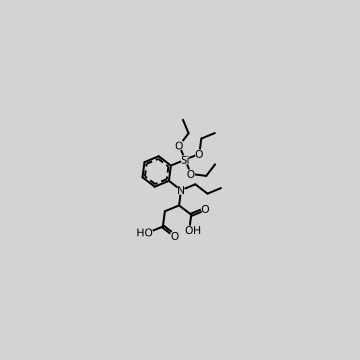 CCCN(c1ccccc1[Si](OCC)(OCC)OCC)C(CC(=O)O)C(=O)O